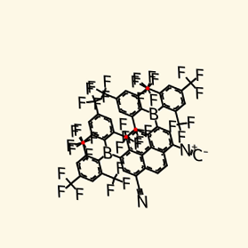 [C-]#[N+]c1cc(B(c2c(C(F)(F)F)cc(C(F)(F)F)cc2C(F)(F)F)c2c(C(F)(F)F)cc(C(F)(F)F)cc2C(F)(F)F)c2ccc3c(B(c4c(C(F)(F)F)cc(C(F)(F)F)cc4C(F)(F)F)c4c(C(F)(F)F)cc(C(F)(F)F)cc4C(F)(F)F)cc(C#N)c4ccc1c2c43